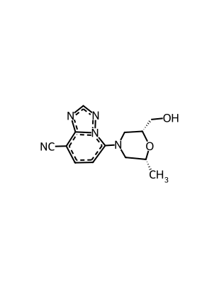 C[C@@H]1CN(c2ccc(C#N)c3ncnn23)C[C@H](CO)O1